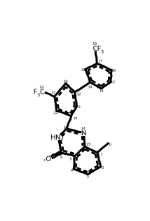 Cc1cccc2c(=O)[nH]c(-c3cc(-c4cccc(C(F)(F)F)c4)cc(C(F)(F)F)c3)nc12